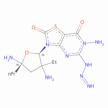 CCC[C@]1(N)CC(N)(CC)[C@H](n2c(=O)sc3c(=O)n(N)c(NN=N)nc32)O1